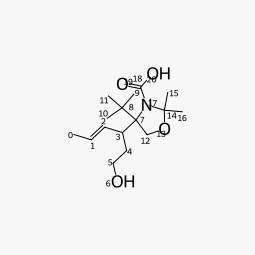 CC=CC(CCO)C1(C(C)(C)C)COC(C)(C)N1C(=O)O